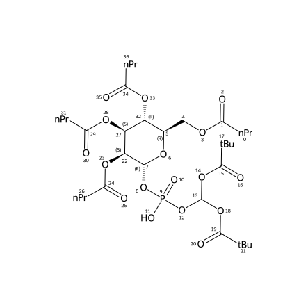 CCCC(=O)OC[C@H]1O[C@H](OP(=O)(O)OC(OC(=O)C(C)(C)C)OC(=O)C(C)(C)C)[C@@H](OC(=O)CCC)[C@@H](OC(=O)CCC)[C@@H]1OC(=O)CCC